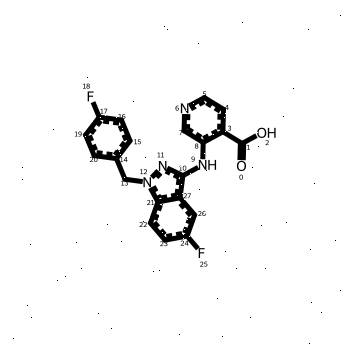 O=C(O)c1ccncc1Nc1nn(Cc2ccc(F)cc2)c2ccc(F)cc12